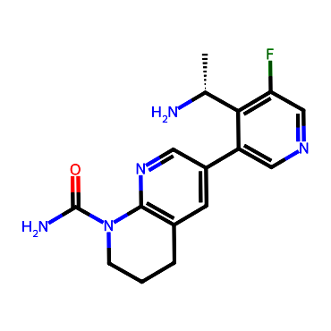 C[C@@H](N)c1c(F)cncc1-c1cnc2c(c1)CCCN2C(N)=O